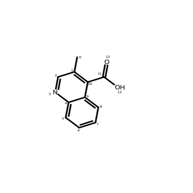 Cc1cnc2ccccc2c1C(=O)O